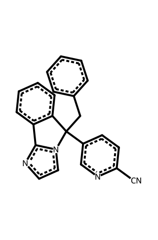 N#Cc1ccc(C2(Cc3ccccc3)c3ccccc3-c3nccn32)cn1